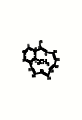 Cc1c2cccc1/C(I)=C/C=C\C=C\C=C\C=C/2